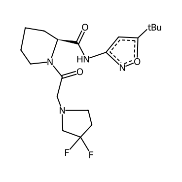 CC(C)(C)c1cc(NC(=O)[C@@H]2CCCCN2C(=O)CN2CCC(F)(F)C2)no1